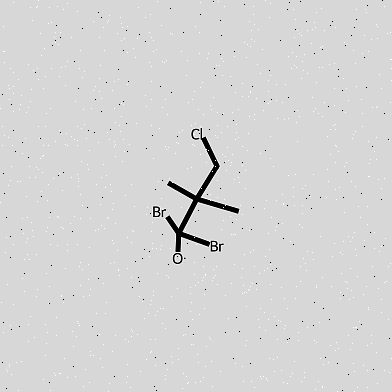 CC(C)(CCl)C([O])(Br)Br